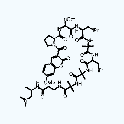 CCCCCCCCC(NC(=O)[C@@H]1CCCN1C(=O)c1cc2ccc(OC)cc2oc1=O)C(=O)NC(CC(C)C)C(=O)NC(C)(C)C(=O)NC(CC(C)C)C(=O)NC(C)(C)C(=O)NC(C)(C)C(=O)NCCC(=O)NC(C)CN(C)C